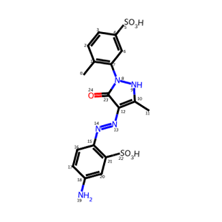 Cc1ccc(S(=O)(=O)O)cc1-n1[nH]c(C)c(N=Nc2ccc(N)cc2S(=O)(=O)O)c1=O